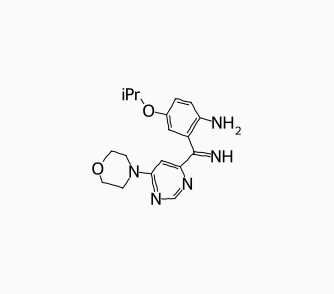 CC(C)Oc1ccc(N)c(C(=N)c2cc(N3CCOCC3)ncn2)c1